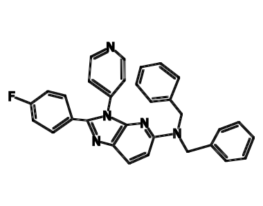 Fc1ccc(-c2nc3ccc(N(Cc4ccccc4)Cc4ccccc4)nc3n2-c2ccncc2)cc1